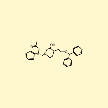 CC(=O)O[C@H](CN1CCC(CCOC(c2ccccc2)c2ccccc2)C(O)C1)c1ccccc1